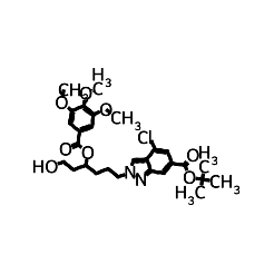 COc1cc(C(=O)OC(CCO)CCCn2cc3c(Cl)cc(C(=O)OC(C)(C)C)cc3n2)cc(OC)c1OC